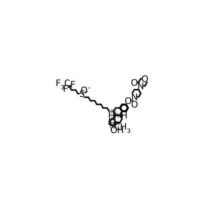 C[C@]12CC[C@@H]3c4ccc(OC(=O)N5CCC(N6CCOCC6=O)CC5)cc4C[C@@H](CCCCCCCCC[S+]([O-])CCCC(F)(F)C(F)(F)F)[C@H]3[C@@H]1CC[C@@H]2O